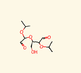 CC(C)OC(C=O)O[C@H](CO)C(C=O)OC(C)C